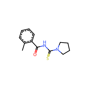 Cc1ccccc1C(=O)NC(=S)N1CCCC1